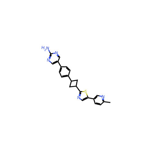 Cc1ccc(-c2cnc(C3CC(c4ccc(-c5cnc(N)nc5)cc4)C3)s2)cn1